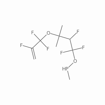 C=C(F)C(F)(F)OC(C)(C)C(F)C(F)(F)OPC